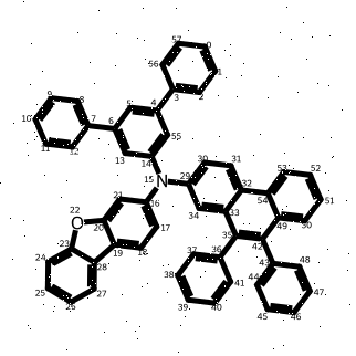 c1ccc(-c2cc(-c3ccccc3)cc(N(c3ccc4c(c3)oc3ccccc34)c3ccc4c(c3)c(-c3ccccc3)c(-c3ccccc3)c3ccccc34)c2)cc1